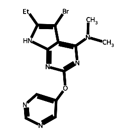 CCc1[nH]c2nc(Oc3cncnc3)nc(N(C)C)c2c1Br